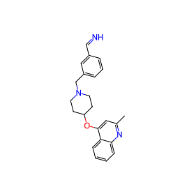 Cc1cc(OC2CCN(Cc3cccc(C=N)c3)CC2)c2ccccc2n1